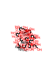 CC(=O)NC1C(O)[C@H](O[C@@H]2OC(CO[C@]3(OC=O)C[C@@H](O)[C@@H](C)C([C@H](O)[C@H](O)CO)O3)[C@H](O)[C@H](O)C2O)[C@H](CO)O[C@H]1OC1[C@@H](OCC2O[C@@H](O[C@@H]3C(CO)O[C@@H](O[C@@H]4C(CO)O[C@@H](C)C(NC(C)=O)[C@H]4O)C(NC(C)=O)[C@H]3O)C(O)[C@@H](O[C@H]3OC(CO)[C@@H](O)C(O)C3O[C@@H]3OC(CO)[C@@H](O[C@@H]4OC(CO)[C@H](O)[C@H](O[C@]5(OC=O)C[C@@H](O)[C@@H](C)C([C@H](O)[C@H](O)CO)O5)C4O)[C@H](O)C3NC(C)=O)[C@@H]2O)OC(CO)[C@@H](O)[C@@H]1O